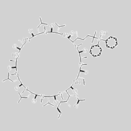 C/C=C/C[C@@H](C)[C@@H](OC(C)=O)[C@H]1C(=O)N[C@@H](CC)C(=O)N(C)[C@H](C)C(=O)N(C)[C@@H]([C@H](C)CCC(C)(C)[Si](O)(c2ccccc2)c2ccccc2)C(=O)N[C@@H](C(C)C)C(=O)N(C)[C@@H](CC(C)C)C(=O)N[C@@H](C)C(=O)N[C@H](C)C(=O)N(C)[C@@H](CC(C)C)C(=O)N(C)[C@@H](CC(C)C)C(=O)N(C)[C@@H](C(C)C)C(=O)N1C